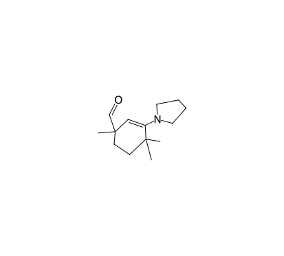 CC1(C=O)C=C(N2CCCC2)C(C)(C)CC1